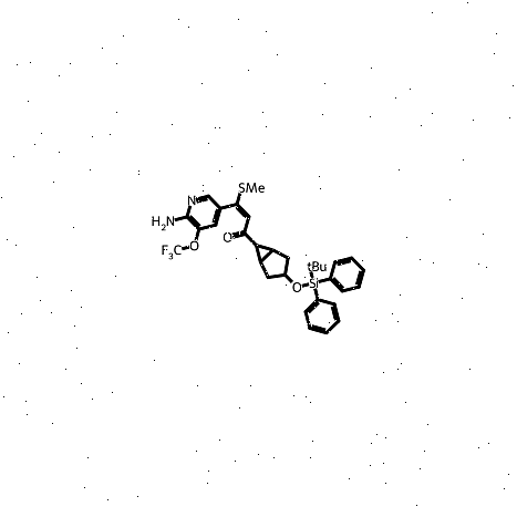 CSC(=CC(=O)C1C2CC(O[Si](c3ccccc3)(c3ccccc3)C(C)(C)C)CC21)c1cnc(N)c(OC(F)(F)F)c1